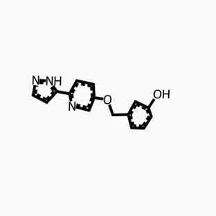 Oc1cccc(COc2ccc(-c3ccn[nH]3)nc2)c1